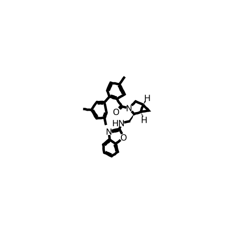 Cc1cc(C)cc(-c2ccc(C)cc2C(=O)N2C[C@H]3C[C@H]3[C@H]2CNc2nc3ccccc3o2)c1